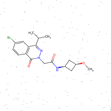 CO[C@H]1C[C@@H](NC(=O)Cn2nc(C(C)C)c3cc(Br)ccc3c2=O)C1